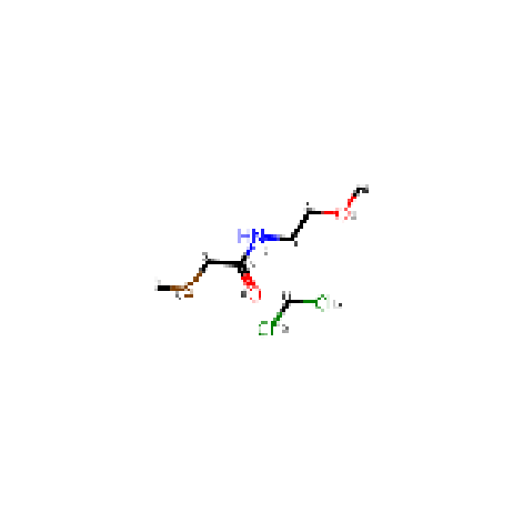 COCCNC(=O)CSC.ClCCl